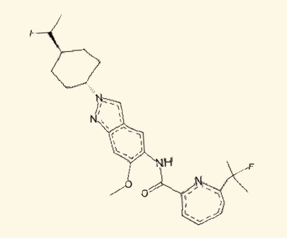 COc1cc2nn([C@H]3CC[C@H](C(C)I)CC3)cc2cc1NC(=O)c1cccc(C(C)(C)F)n1